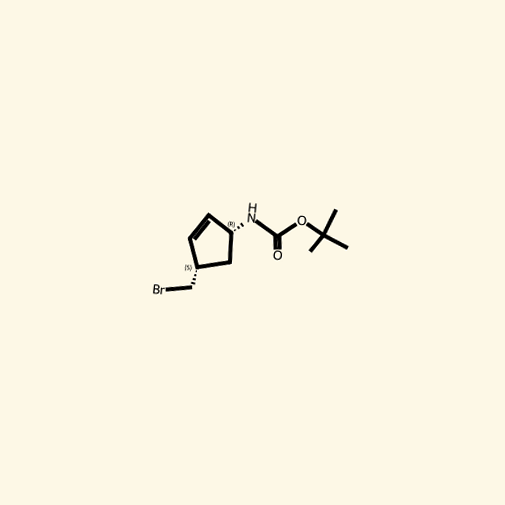 CC(C)(C)OC(=O)N[C@H]1C=C[C@@H](CBr)C1